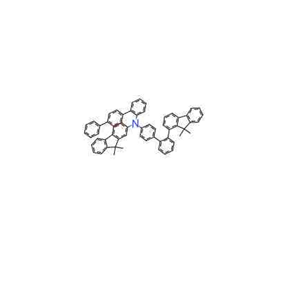 CC1(C)c2ccccc2-c2ccc(N(c3ccc(-c4ccccc4-c4cccc5c4C(C)(C)c4ccccc4-5)cc3)c3ccccc3-c3ccc(-c4ccccc4)cc3)cc21